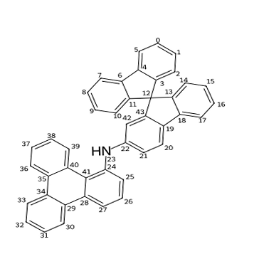 c1ccc2c(c1)-c1ccccc1C21c2ccccc2-c2ccc(Nc3cccc4c5ccccc5c5ccccc5c34)cc21